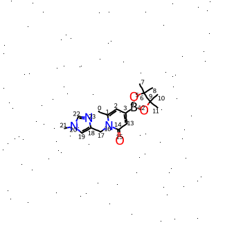 Cc1cc(B2OC(C)(C)C(C)(C)O2)cc(=O)n1Cc1cn(C)cn1